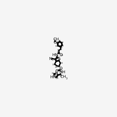 COc1cccc(CCC(=O)Nc2sc3c(c2C#N)CCC(OC(=O)NC(C)c2c[nH]cn2)C3)c1